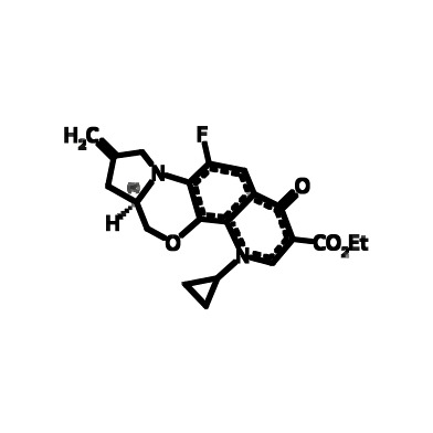 C=C1C[C@@H]2COc3c(c(F)cc4c(=O)c(C(=O)OCC)cn(C5CC5)c34)N2C1